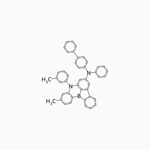 Cc1cccc(N2c3cc(C)ccc3B3c4ccccc4-c4cc(N(c5ccccc5)c5ccc(-c6ccccc6)cc5)cc2c43)c1